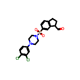 O=CC1CCc2ccc(S(=O)(=O)N3CCN(c4ccc(Cl)c(Cl)c4)CC3)cc21